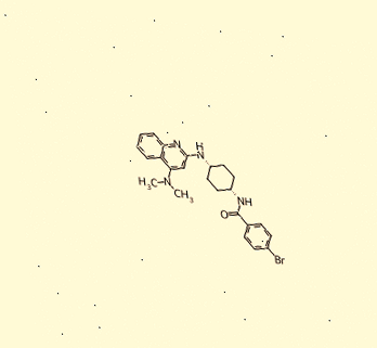 CN(C)c1cc(N[C@H]2CC[C@@H](NC(=O)c3ccc(Br)cc3)CC2)nc2ccccc12